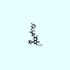 CN1CCO[C@@H](CNC(=O)C2CN(c3nc4c(cc3F)c(=O)c(C(=O)O)cn4-c3nccs3)C2)C1